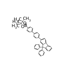 CC1(C)OB(c2ccc(-c3ccc(-c4ccc5c(c4)C(c4ccccc4)(c4ccccc4)c4ccccc4-5)cc3)cc2)OC1(C)C